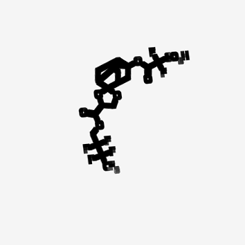 O=C(OCC(F)(F)C(F)(F)C(F)(F)F)C1COC2(O1)C1CC3CC2CC(OC(=O)C(F)(F)S(=O)(=O)O)(C3)C1